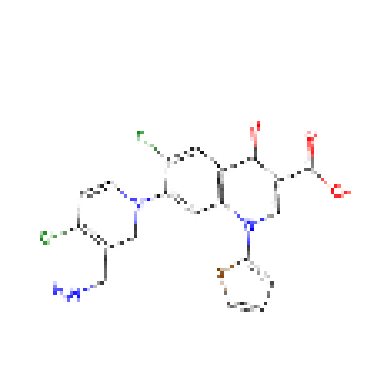 NCC1=C(Cl)C=CN(c2cc3c(cc2F)c(=O)c(C(=O)O)cn3-c2cccs2)C1